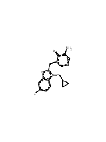 Nc1cncn(Cc2nc3cc(F)ccc3n2CC2CC2)c1=O